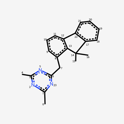 Cc1nc(C)nc(Cc2cccc3c2C(C)(C)c2ccccc2-3)n1